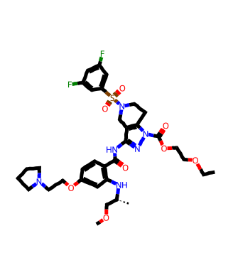 CCOCCOC(=O)n1nc(NC(=O)c2ccc(OCCN3CCCC3)cc2N[C@H](C)COC)c2c1CCN(S(=O)(=O)c1cc(F)cc(F)c1)C2